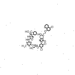 C#CCOc1cc(-n2nc3n(c2=O)CCCC3)c(Cl)cc1Cl.COc1nc(C)nc(NC(=O)NS(=O)(=O)c2ccccc2C(=O)O)n1.O=C(O)COc1ccc(Cl)c2cccnc12